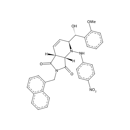 COc1ccccc1[C@@H](O)[C@@H]1C=C[C@H]2C(=O)N(Cc3cccc4ccccc34)C(=O)[C@H]2N1Nc1ccc([N+](=O)[O-])cc1